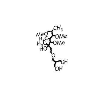 COCC(C)C(OC)C(C)C(OC)C(C)(O)CCOCC(CO)CO